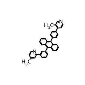 Cc1ccnc(-c2cccc(-c3c4ccccc4c(-c4ccc(-c5ccncc5C)cc4)c4ccccc34)c2)c1